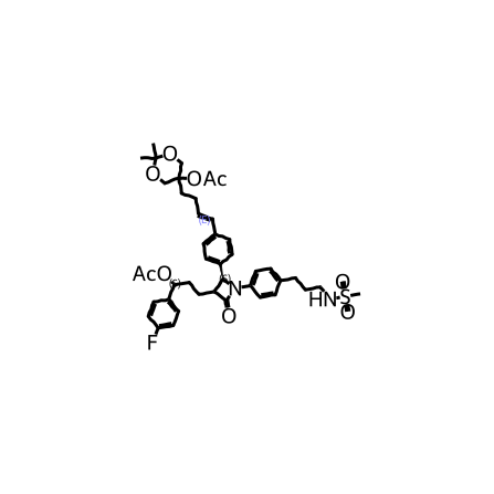 CC(=O)O[C@@H](CCC1C(=O)N(c2ccc(CCCNS(C)(=O)=O)cc2)[C@@H]1c1ccc(/C=C/CCC2(OC(C)=O)COC(C)(C)OC2)cc1)c1ccc(F)cc1